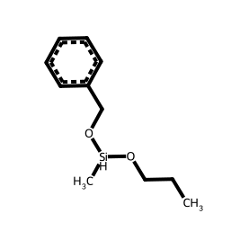 CCCO[SiH](C)OCc1ccccc1